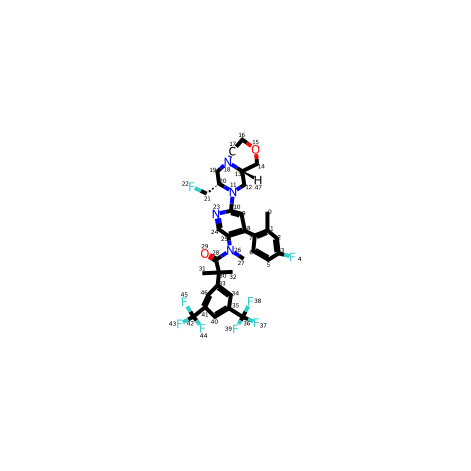 Cc1cc(F)ccc1-c1cc(N2C[C@H]3COCCN3C[C@H]2CF)ncc1N(C)C(=O)C(C)(C)c1cc(C(F)(F)F)cc(C(F)(F)F)c1